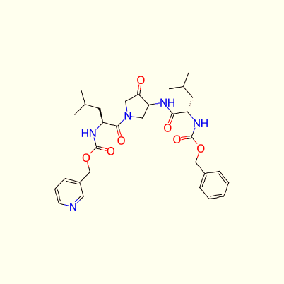 CC(C)C[C@H](NC(=O)OCc1ccccc1)C(=O)NC1CN(C(=O)[C@H](CC(C)C)NC(=O)OCc2cccnc2)CC1=O